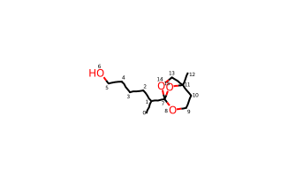 CC(CCCCO)C12OCCC(C)(CO1)O2